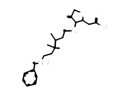 CC(CC(=O)NC1C(=O)COC1CC(N)=O)C(C)(C)CCNC(=O)c1ccccc1